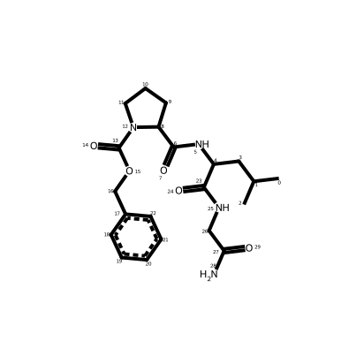 CC(C)CC(NC(=O)C1CCCN1C(=O)OCc1ccccc1)C(=O)NCC(N)=O